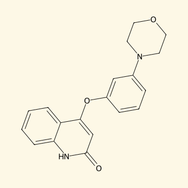 O=c1cc(Oc2cccc(N3CCOCC3)c2)c2ccccc2[nH]1